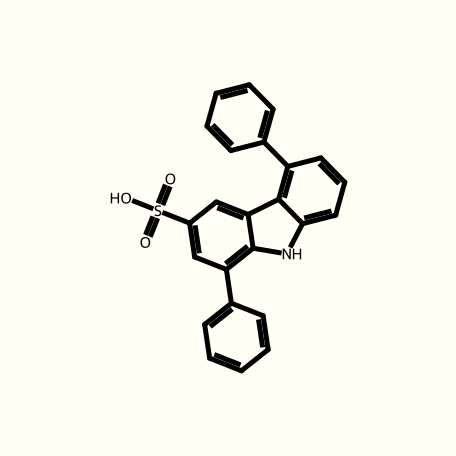 O=S(=O)(O)c1cc(-c2ccccc2)c2[nH]c3cccc(-c4ccccc4)c3c2c1